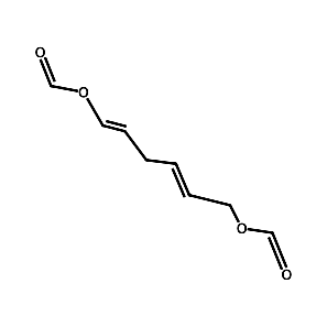 O=COC=CCC=CCOC=O